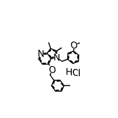 COc1cccc(Cn2c(C)c(C)c3nccc(OCc4cccc(C)c4)c32)c1.Cl